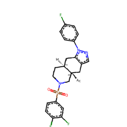 CC(=O)[C@]12Cc3cnn(-c4ccc(F)cc4)c3C[C@@H]1CCN(S(=O)(=O)c1ccc(F)c(F)c1)C2